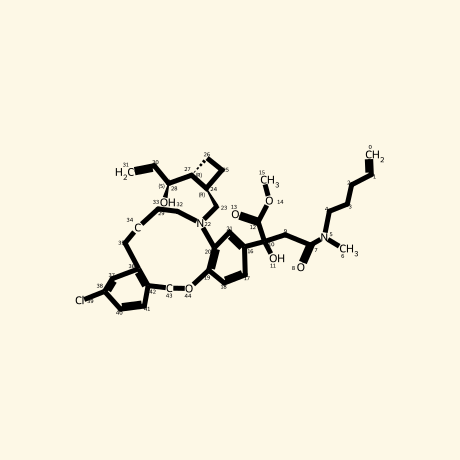 C=CCCCN(C)C(=O)CC(O)(C(=O)OC)c1ccc2c(c1)N(C[C@@H]1CC[C@H]1[C@@H](O)C=C)CCCCc1cc(Cl)ccc1CO2